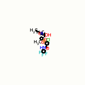 C=CCO/N=C/[C@](O)(CC)C[C@@H]1CCC(C)C1S(=O)(=O)c1cc(C(=O)Nc2cc(F)c(F)c(F)c2)ccc1Cl